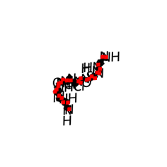 O=C(NC1CCN(c2cc(-c3nccc(N4CCN(C(=O)c5cc6ccc(-c7nccc(Nc8ccc(-c9cn[nH]c9)cc8)n7)cc6[nH]5)CC4)c3Cl)ncc2Cl)CC1)c1cc2ccc(-c3nccc(Nc4ccc(-c5cn[nH]c5)cc4)n3)cc2s1